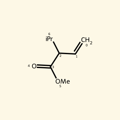 C=CC(C(=O)OC)C(C)C